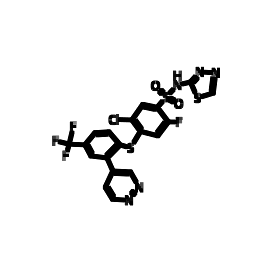 O=S(=O)(Nc1nncs1)c1cc(Cl)c(Sc2ccc(C(F)(F)F)cc2-c2ccnnc2)cc1F